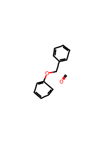 C=O.c1ccc(COc2ccccc2)cc1